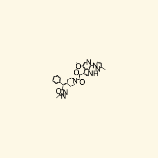 COc1cnc(-n2ccc(C)n2)c2[nH]cc(C(=O)C(=O)N3CCC(=C(c4ccccc4)c4nnc(C)o4)CC3)c12